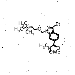 CCc1nn(COCC[Si](C)(C)C)c2cc(C(=O)N(C)OC)ccc12